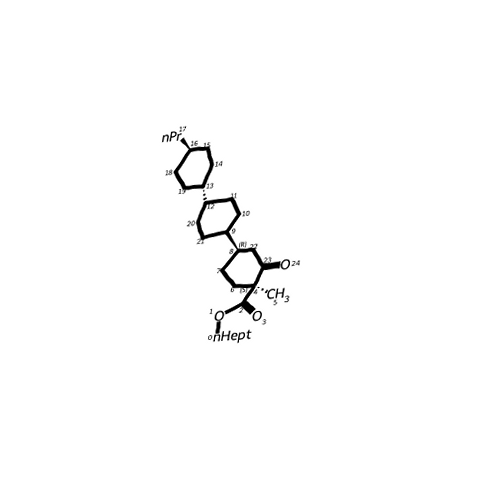 CCCCCCCOC(=O)[C@@]1(C)CC[C@@H](C2CCC([C@H]3CC[C@H](CCC)CC3)CC2)CC1=O